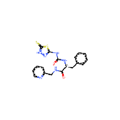 O=C(Nc1n[nH]c(=S)s1)N[C@@H](Cc1ccccc1)C(=O)NCc1ccccn1